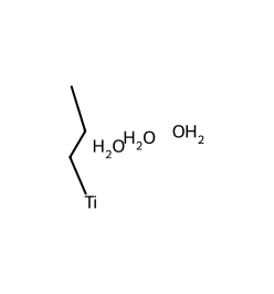 CC[CH2][Ti].O.O.O